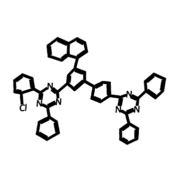 Clc1ccccc1-c1nc(-c2ccccc2)nc(-c2cc(-c3ccc(-c4nc(-c5ccccc5)nc(-c5ccccc5)n4)cc3)cc(-c3cccc4ccccc34)c2)n1